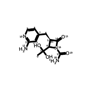 CC(O)(O)C1[C@@H](Cc2ccnc(N)c2)C(=O)N1C(N)=O